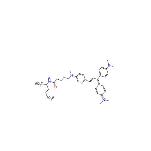 CN(C)c1ccc(C(/C=C/c2ccc(N(C)CCCCC(=O)NC(CCS(=O)(=O)O)C(=O)O)cc2)=C2C=CC(=[N+](C)C)C=C2)cc1